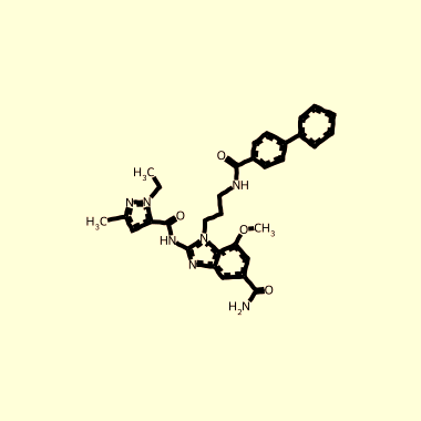 CCn1nc(C)cc1C(=O)Nc1nc2cc(C(N)=O)cc(OC)c2n1CCCNC(=O)c1ccc(-c2ccccc2)cc1